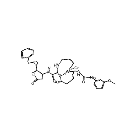 COc1cccc(NC(=O)NC2CCC(=O)N3C(C(=O)NC4CC(=O)OC4OCc4ccccc4)NCCC[N+]23[O-])c1